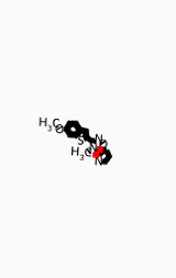 COc1ccc2cc(C3=NOC4(CN5CCC4CC5)N3C)sc2c1